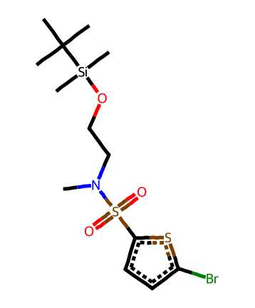 CN(CCO[Si](C)(C)C(C)(C)C)S(=O)(=O)c1ccc(Br)s1